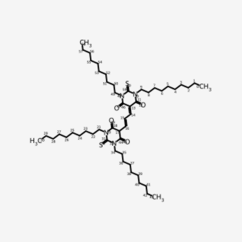 CCCCCCCCCCN1C(=O)C(=CC=CC2C(=O)N(CCCCCCCCCC)C(=S)N(CCCCCCCCCC)C2=O)C(=O)N(CCCCCCCCCC)C1=S